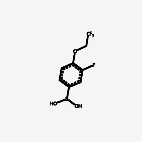 OB(O)c1ccc(OCC(F)(F)F)c(F)c1